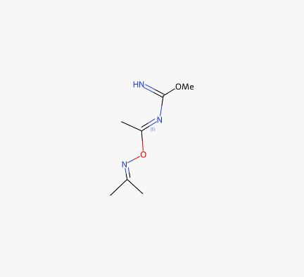 COC(=N)/N=C(\C)ON=C(C)C